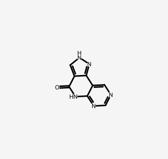 O=c1[nH]c2ncncc2c2n[nH]cc12